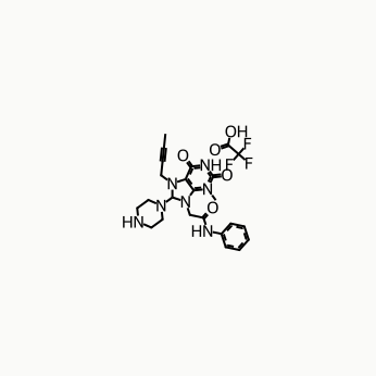 CC#CCN1c2c(n(C)c(=O)[nH]c2=O)N(CC(=O)Nc2ccccc2)C1N1CCNCC1.O=C(O)C(F)(F)F